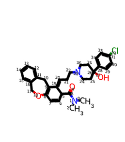 CN(C)C(=O)C1C=CC2=C(Cc3ccccc3CO2)C1=CCCN1CCC(O)(c2ccc(Cl)cc2)CC1